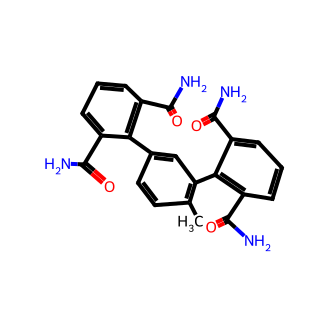 Cc1ccc(-c2c(C(N)=O)cccc2C(N)=O)cc1-c1c(C(N)=O)cccc1C(N)=O